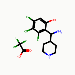 NC(c1c(O)cc(Cl)c(Cl)c1Cl)C1CCNCC1.O=C(O)C(F)(F)F